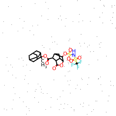 CC1(OC(=O)C2C3CC4C(OC(=O)C42)C3OS(=O)(=O)NS(=O)(=O)C(F)(F)F)C2CC3CC(C2)CC1C3